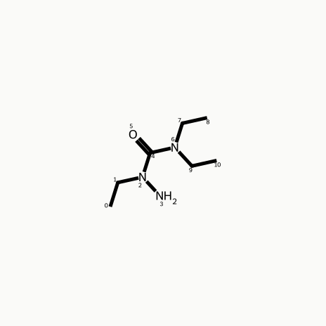 CCN(N)C(=O)N(CC)CC